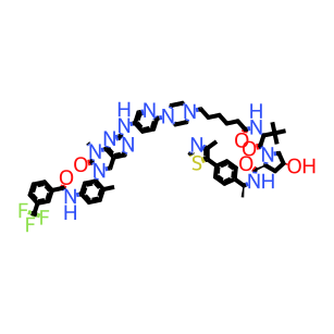 Cc1ccc(NC(=O)c2cccc(C(F)(F)F)c2)cc1N1Cc2cnc(Nc3ccc(N4CCN(CCCCCC(=O)N[C@H](C(=O)N5C[C@H](O)C[C@H]5C(=O)N[C@@H](C)c5ccc(-c6scnc6C)cc5)C(C)(C)C)CC4)nc3)nc2N(C)C1=O